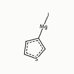 [I][Mg][c]1ccsc1